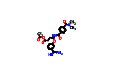 CN(C)C(=O)c1ccc(C(=O)NC(CCC(=O)OC(=O)C(F)(F)F)Oc2cccc(C(=N)N)c2)cc1